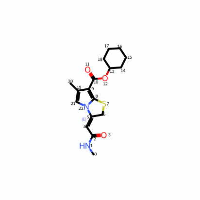 CNC(=O)/C=C1\CSc2c(C(=O)OC3CCCCC3)c(C)cn21